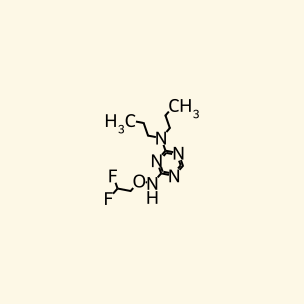 CCCN(CCC)c1ncnc(NOCC(F)F)n1